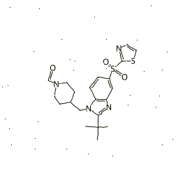 CC(C)(C)c1nc2cc(S(=O)(=O)c3nccs3)ccc2n1CC1CCN(C=O)CC1